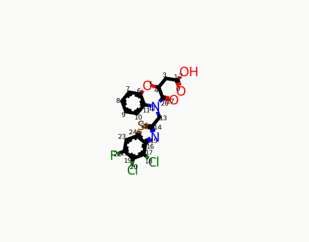 O=C(O)CC1Oc2ccccc2N(Cc2nc3c(Cl)c(Cl)c(F)cc3s2)C1=O